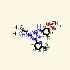 CC(C)CNc1nc(Nc2cc(F)cc(S(C)(=O)=O)c2)nc(-c2cccc(C(F)(F)F)n2)n1